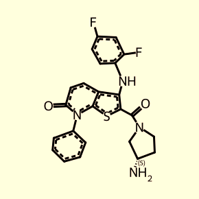 N[C@H]1CCN(C(=O)c2sc3c(ccc(=O)n3-c3ccccc3)c2Nc2ccc(F)cc2F)C1